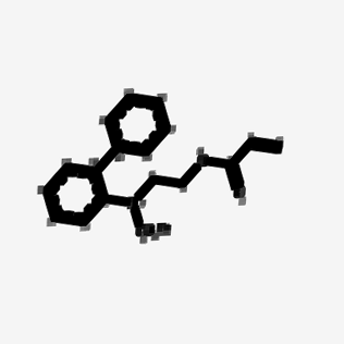 C=CC(=O)OCCN(C(=O)OCC)c1ccccc1-c1ccccc1